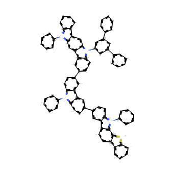 c1ccc(-c2cc(-c3ccccc3)cc(-n3c4ccc(-c5ccc6c(c5)c5cc(-c7ccc8c(c7)c7ccc9c%10ccccc%10sc9c7n8-c7ccccc7)ccc5n6-c5ccccc5)cc4c4cc5c(cc43)c3ccccc3n5-c3ccccc3)c2)cc1